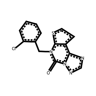 O=c1n(Cc2ccccc2Cl)c2sccc2c2ncnn12